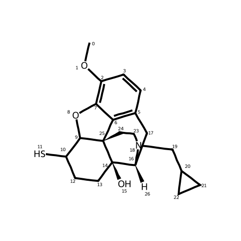 COc1ccc2c3c1OC1C(S)CC[C@@]4(O)[C@@H](C2)N(CC2CC2)CC[C@]314